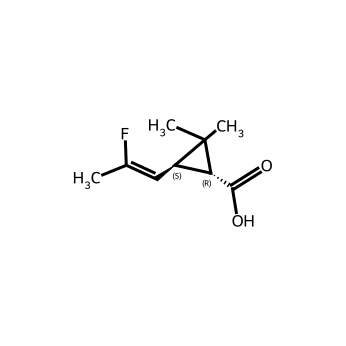 CC(F)=C[C@@H]1[C@@H](C(=O)O)C1(C)C